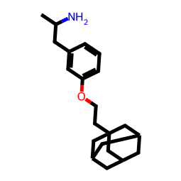 CC(N)Cc1cccc(OCCC23CC4CC(CC(C4)C2)C3)c1